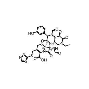 CCN1CCN(N(C=O)C(C(=O)N[C@]2(NC=O)C(=O)N3C(C(=O)O)=C(CSc4nncs4)CS[C@H]32)c2cccc(O)c2)C(=O)C1=O